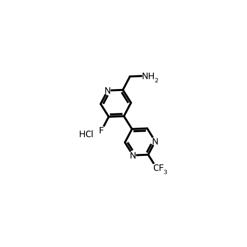 Cl.NCc1cc(-c2cnc(C(F)(F)F)nc2)c(F)cn1